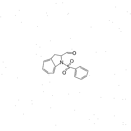 O=CC1Cc2ccccc2N1S(=O)(=O)c1ccccc1